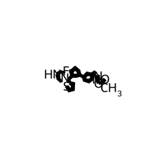 CC(=O)On1ncc2cc(-c3ccc(F)c(C(c4cccs4)N4CCNCC4)c3)ccc21